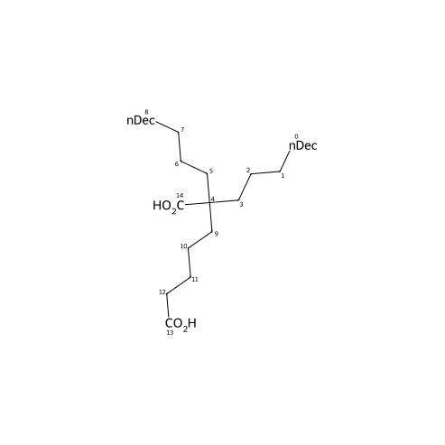 CCCCCCCCCCCCCC(CCCCCCCCCCCCC)(CCCCC(=O)O)C(=O)O